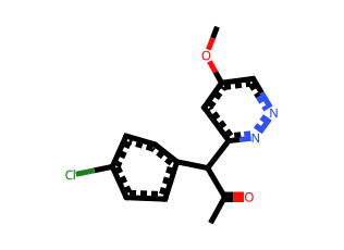 COc1cnnc(C(C(C)=O)c2ccc(Cl)cc2)c1